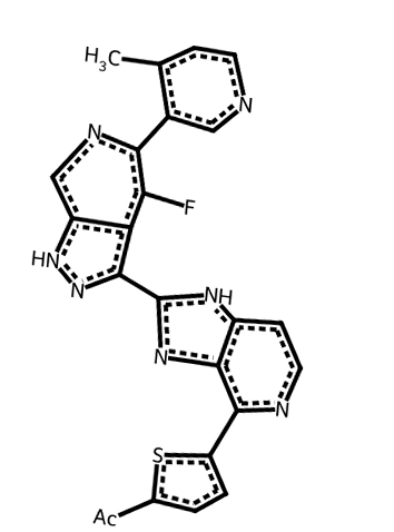 CC(=O)c1ccc(-c2nccc3[nH]c(-c4n[nH]c5cnc(-c6cnccc6C)c(F)c45)nc23)s1